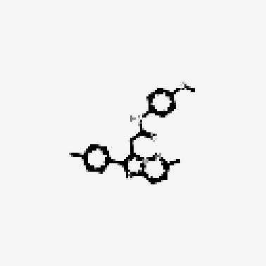 COc1ccc(NC(=O)Cc2c(-c3ccc(C)cc3)nc3ccc(C)nn23)cc1